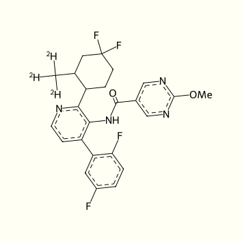 [2H]C([2H])([2H])C1CC(F)(F)CCC1c1nccc(-c2cc(F)ccc2F)c1NC(=O)c1cnc(OC)nc1